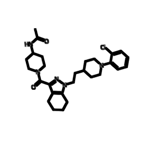 CC(=O)NC1CCN(C(=O)c2nn(CCC3CCN(c4ccccc4Cl)CC3)c3c2CCCC3)CC1